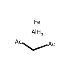 CC(=O)CC(C)=O.[AlH3].[Fe]